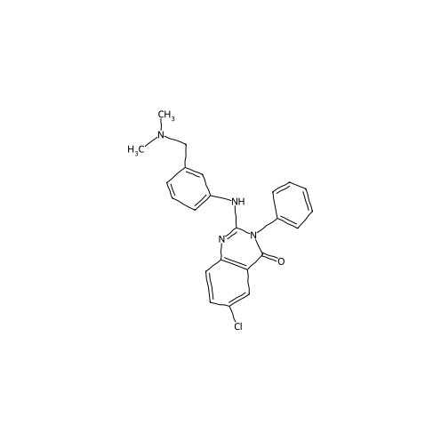 CN(C)Cc1cccc(Nc2nc3ccc(Cl)cc3c(=O)n2-c2ccccc2)c1